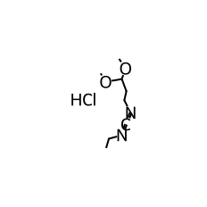 CCN=C=NCCC(OC)OC.Cl